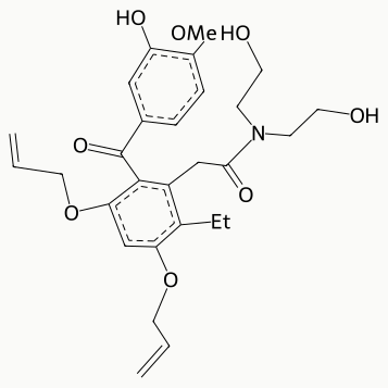 C=CCOc1cc(OCC=C)c(C(=O)c2ccc(OC)c(O)c2)c(CC(=O)N(CCO)CCO)c1CC